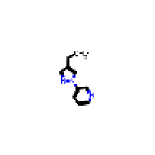 [CH2]Cc1cnn(-c2cccnc2)c1